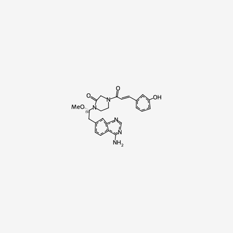 CO[C@@H](Cc1ccc2c(N)ncnc2c1)N1CCN(C(=O)C=Cc2cccc(O)c2)CC1=O